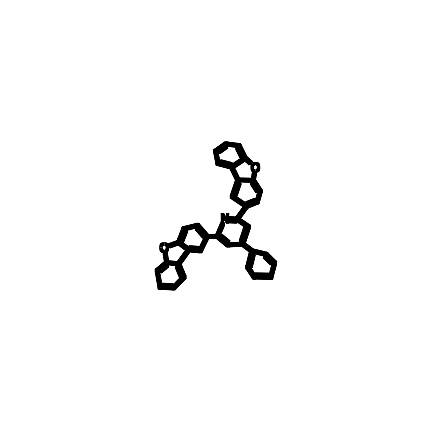 c1ccc(-c2cc(-c3ccc4oc5ccccc5c4c3)nc(-c3ccc4oc5ccccc5c4c3)c2)cc1